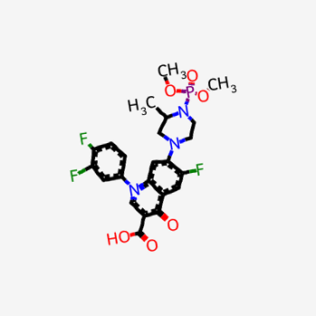 COP(=O)(OC)N1CCN(c2cc3c(cc2F)c(=O)c(C(=O)O)cn3-c2ccc(F)c(F)c2)CC1C